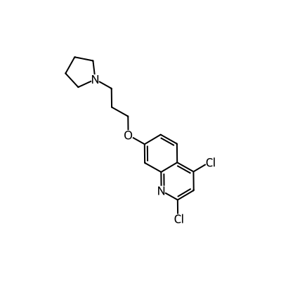 Clc1cc(Cl)c2ccc(OCCCN3CCCC3)cc2n1